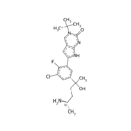 C[C@H](N)CCC(C)(O)c1cc(Cl)c(F)c(-c2cc3cn(C(C)(C)C)c(=O)nc3[nH]2)c1